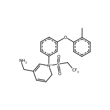 Cc1ccccc1Oc1cccc([N+]2(S(=O)(=O)CC(F)(F)F)C=C(CN)C=CC2)c1